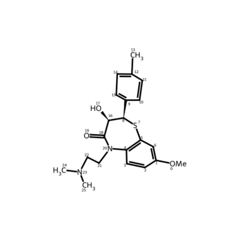 COc1ccc2c(c1)S[C@H](c1ccc(C)cc1)[C@H](O)C(=O)N2CCN(C)C